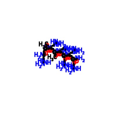 COc1ccc(CC(=O)[C@H](N)CCCNC(=N)N)cc1C(=O)N[C@H](CCCNC(=N)N)C(=O)Cc1ccc(OC)c(C(=O)N[C@H](CCCNC(=N)N)C(=O)Cc2ccc(OCCNC(=N)N)c(C(=O)N[C@H](CCCNC(=N)N)C(=O)Cc3ccc(OCCNC(=N)N)c(C(N)=O)c3)c2)c1